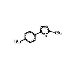 CC(C)(C)c1ccc(-c2ccc(C(C)(C)C)s2)cc1